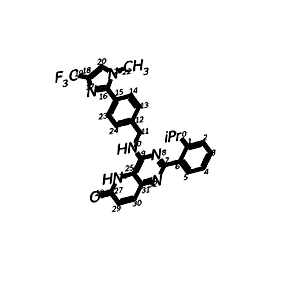 CC(C)c1ccccc1-c1nc(NCc2ccc(-c3nc(C(F)(F)F)cn3C)cc2)c2[nH]c(=O)ccc2n1